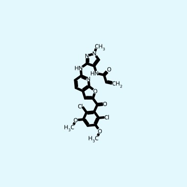 C=CC(=O)Nc1cn(C)nc1Nc1ccc2cc(C(=O)c3c(Cl)c(OC)cc(OC)c3Cl)oc2n1